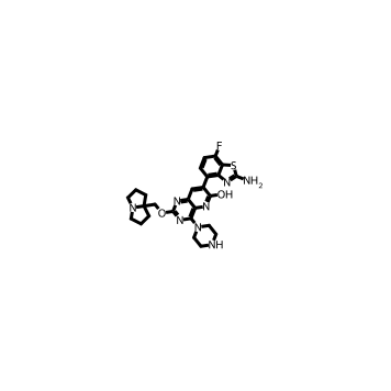 Nc1nc2c(-c3cc4nc(OCC56CCCN5CCC6)nc(N5CCNCC5)c4nc3O)ccc(F)c2s1